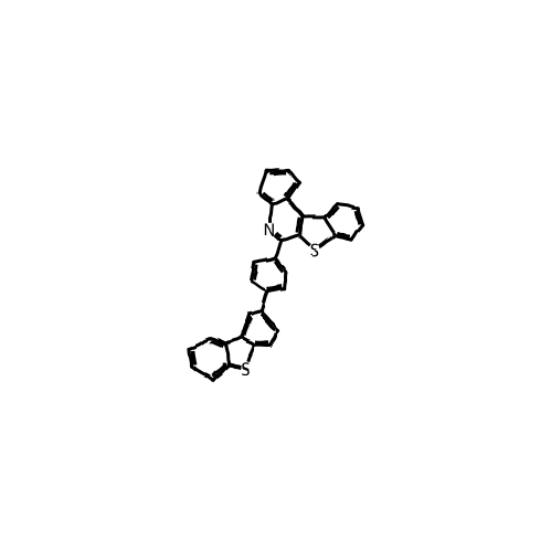 c1ccc2c(c1)nc(-c1ccc(-c3ccc4sc5ccccc5c4c3)cc1)c1sc3ccccc3c12